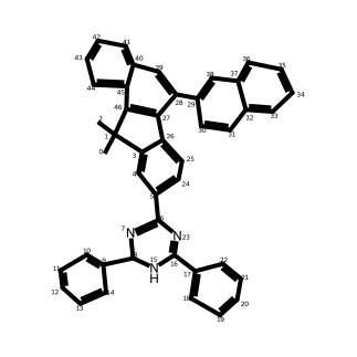 CC1(C)c2cc(C3=NC(c4ccccc4)NC(c4ccccc4)=N3)ccc2-c2c(-c3ccc4ccccc4c3)cc3ccccc3c21